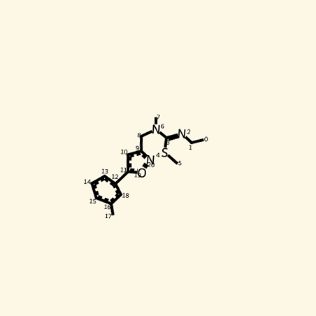 CC/N=C(\SC)N(C)Cc1cc(-c2cccc(C)c2)on1